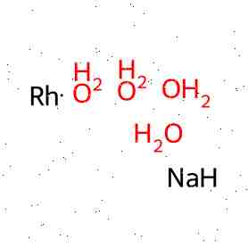 O.O.O.O.[NaH].[Rh]